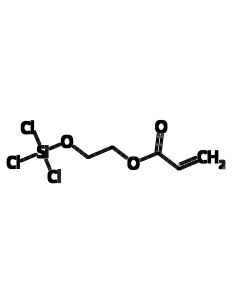 C=CC(=O)OCCO[Si](Cl)(Cl)Cl